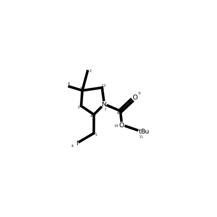 CC1(C)CC(CI)N(C(=O)OC(C)(C)C)C1